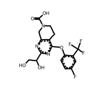 O=C(O)N1CCc2c(nc(C(O)CO)nc2Oc2ccc(F)cc2C(F)(F)F)C1